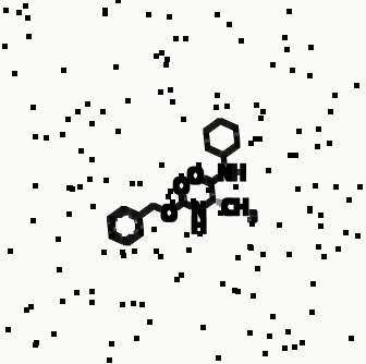 C[C@H](NC(=O)OCc1ccccc1)C(=O)NC1CCCCC1